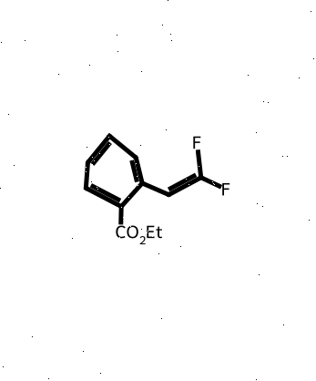 CCOC(=O)c1ccccc1C=C(F)F